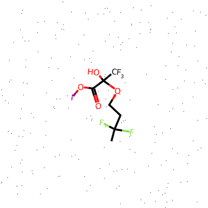 CC(F)(F)CCOC(O)(C(=O)OI)C(F)(F)F